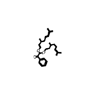 CC(C)=CCCC(C)CCOC(OCCC(C)CCC=C(C)C)C(=O)c1ccccc1